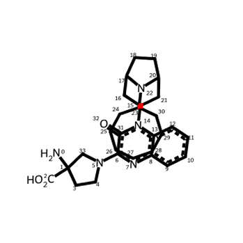 NC1(C(=O)O)CCN(c2nc3ccccc3n(C3CC4CCC(C3)N4C3CCCCCCC3)c2=O)C1